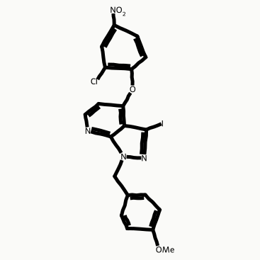 COc1ccc(Cn2nc(I)c3c(Oc4ccc([N+](=O)[O-])cc4Cl)ccnc32)cc1